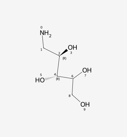 NC[C@@H](O)[C@@H](O)C(O)CO